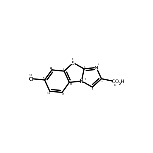 O=C(O)c1cn2c(n1)sc1cc(Cl)ccc12